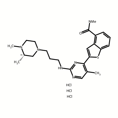 CNC(=O)c1cccc2sc(-c3nc(NCCCN4CCN(C)[C@@H](C)C4)ncc3C)cc12.Cl.Cl.Cl